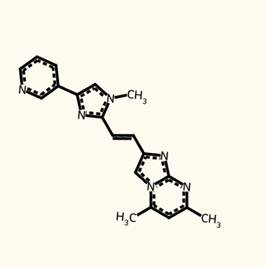 Cc1cc(C)n2cc(/C=C/c3nc(-c4cccnc4)cn3C)nc2n1